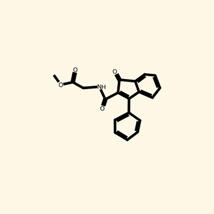 COC(=O)CNC(=O)C1=C(c2ccccc2)c2ccccc2C1=O